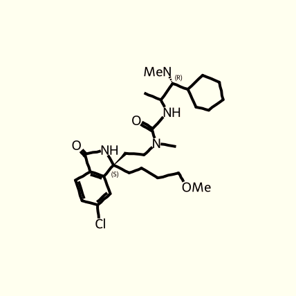 CN[C@H](C1CCCCC1)C(C)NC(=O)N(C)CC[C@]1(CCCCOC)NC(=O)c2ccc(Cl)cc21